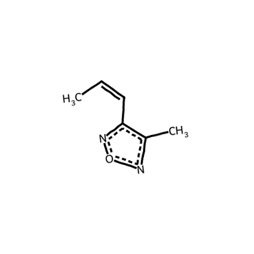 C/C=C\c1nonc1C